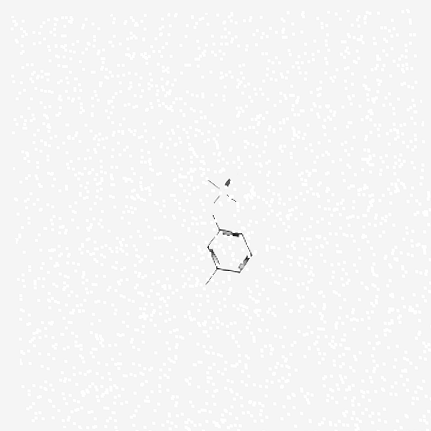 CCP(=O)(CC)Oc1cccc(C)c1